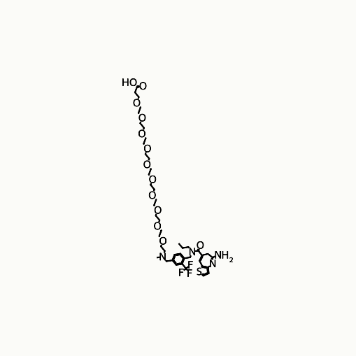 CCCN(Cc1ccc(CN(C)CCOCCOCCOCCOCCOCCOCCOCCOCCOCCOCCC(=O)O)cc1C(F)(F)F)C(=O)C1=Cc2sccc2N=C(N)C1